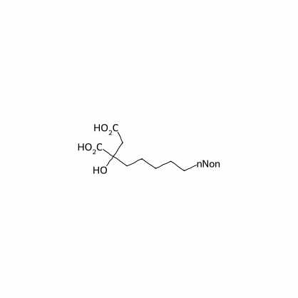 CCCCCCCCCCCCCCC(O)(CC(=O)O)C(=O)O